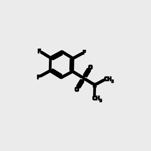 CN(C)S(=O)(=O)c1cc(F)c(F)cc1F